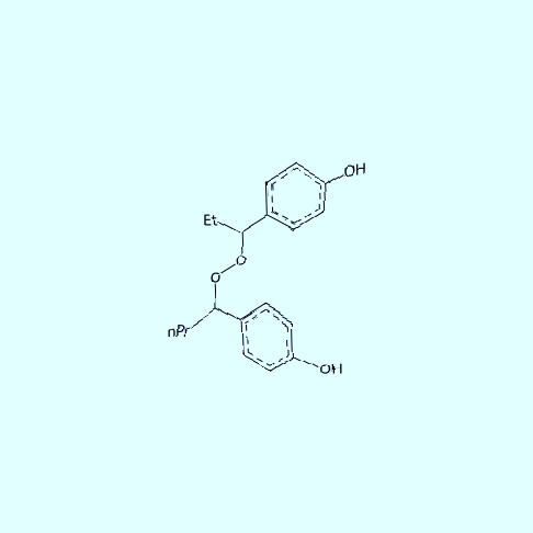 CCCC(OOC(CC)c1ccc(O)cc1)c1ccc(O)cc1